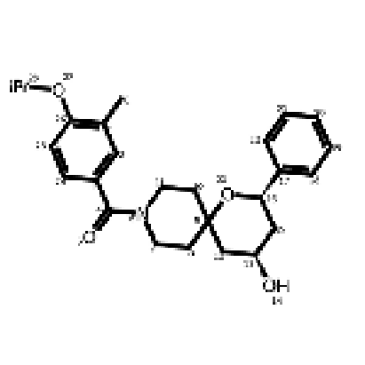 Cc1cc(C(=O)N2CCC3(CC2)C[C@H](O)C[C@H](c2ccccc2)O3)ccc1OC(C)C